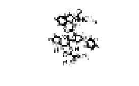 CNC(=O)[C@@H]1Cc2ccccc2[C@@H]1NC(=O)[C@@H]1C[C@H](c2ccccc2)CN1C(=O)C(CC1CCCN1)NC(=O)C(C)N